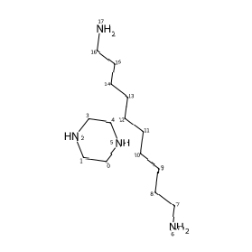 C1CNCCN1.NCCCCCCCCCCN